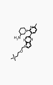 Cc1ccc(-c2cnc3c(ccn3COCC[Si](C)(C)C)n2)c(N2CCCC(N)C2)n1